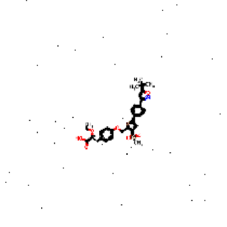 CCO[C@@H](Cc1ccc(OCc2sc(-c3ccc(-c4cc(C(C)(C)C)on4)cc3)cc2S(C)(=O)=O)cc1)C(=O)O